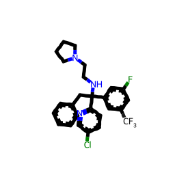 Fc1cc(C(F)(F)F)cc(C(Cc2ccccc2)(NCCN2CCCC2)c2ccc(Cl)cn2)c1